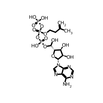 C=C(C)CCOP(=O)(OP(=O)(O)O)OP(=O)(O)OC(O)[C@H]1O[C@@H](n2cnc3c(N)ncnc32)[C@H](O)[C@@H]1O